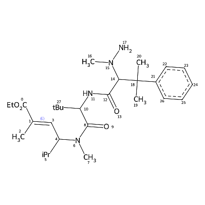 CCOC(=O)/C(C)=C/C(C(C)C)N(C)C(=O)C(NC(=O)C(N(C)N)C(C)(C)c1ccccc1)C(C)(C)C